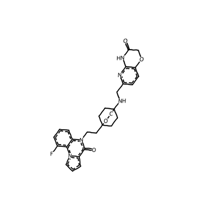 O=C1COc2ccc(CNC34CCC(CCn5c(=O)c6cccn6c6c(F)cccc65)(CC3)OC4)nc2N1